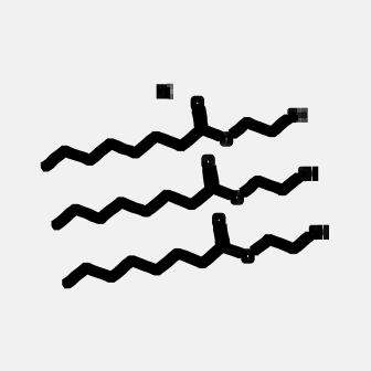 CCCCCCCC(=O)OCCS.CCCCCCCC(=O)OCCS.CCCCCCCC(=O)OCCS.[Bi]